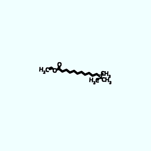 C=COC(=O)CCCCCCCCCC[Si](C)(C)C